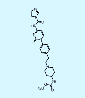 CC(C)(C)OC(=O)NC1CCN(CCc2ccc(-n3ccc(NC(=O)n4ccnc4)nc3=O)cc2)CC1